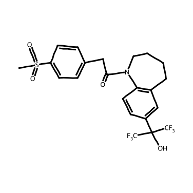 CS(=O)(=O)c1ccc(CC(=O)N2CCCCc3cc(C(O)(C(F)(F)F)C(F)(F)F)ccc32)cc1